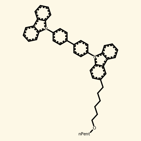 CCCCCOCCCCCCc1ccc2c(c1)c1ccccc1n2-c1ccc(-c2ccc(-n3c4ccccc4c4ccccc43)cc2)cc1